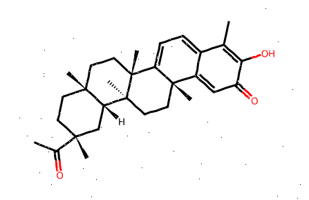 CC(=O)[C@]1(C)CC[C@]2(C)CC[C@]3(C)C4=CC=C5C(=CC(=O)C(O)=C5C)[C@]4(C)CC[C@@]3(C)[C@@H]2C1